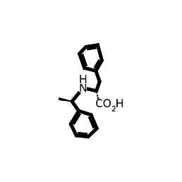 C[C@@H](N[C@H](Cc1ccccc1)C(=O)O)c1ccccc1